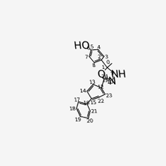 CC1(c2ccc(O)cc2)NN=C(c2ccc(-c3ccccc3)cc2)O1